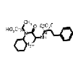 CCOC(=O)[C@H](CCc1ccccc1)NC(C)C(=O)N(C1CCCCC1)[C@@H](C)C(=O)O